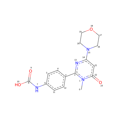 Cn1c(-c2ccc(NC(=O)O)cc2)nc(N2CCOCC2)cc1=O